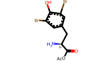 CC(=O)OC(=O)[C@@H](N)Cc1cc(Br)c(O)c(Br)c1